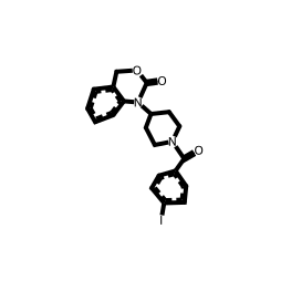 O=C(c1ccc(I)cc1)N1CCC(N2C(=O)OCc3ccccc32)CC1